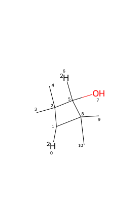 [2H]C1C(C)(C)C([2H])(O)C1(C)C